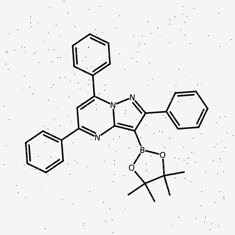 CC1(C)OB(c2c(-c3ccccc3)nn3c(-c4ccccc4)cc(-c4ccccc4)nc23)OC1(C)C